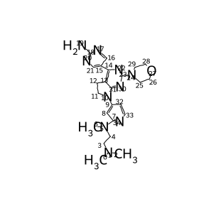 CN(C)CCN(C)c1cc(N2CCc3c(-c4cnc(N)nc4)nc(N4CCOCC4)nc32)ccn1